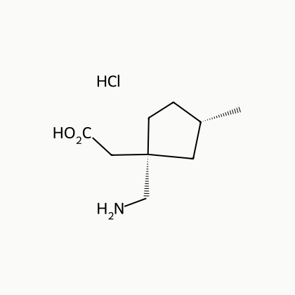 C[C@H]1CC[C@](CN)(CC(=O)O)C1.Cl